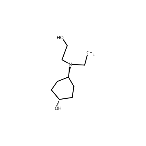 CCN(CCO)[C@H]1CC[C@H](O)CC1